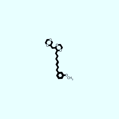 COc1cccc(CCC=CCCCC2OCCOC2CC2COCCO2)c1